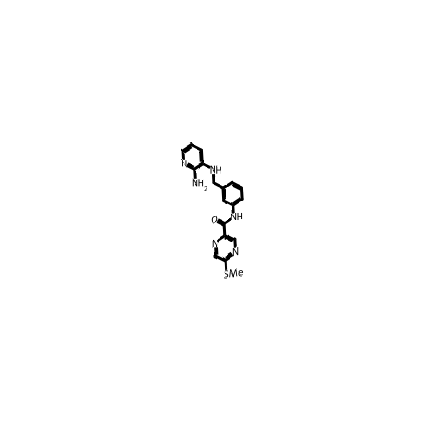 CSc1cnc(C(=O)Nc2cccc(CNc3cccnc3N)c2)cn1